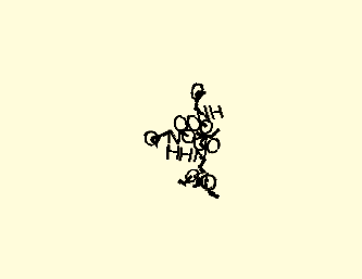 CCO[Si](C)(CCCNC(=O)OC(CC)(COC(=O)NCC1CO1)OC(=O)NCC1CO1)OCC